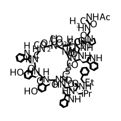 CC[C@H](Cc1ccccc1)NC(=O)[C@H](CC(C)C)NC(=O)[C@H](Cc1c[nH]c2ccccc12)NC(=O)[C@@H]1CSSC[C@H](NC(=O)[C@H](Cc2c[nH]c3ccccc23)NC(=O)[C@@H](NC(=O)[C@@H]2CCCN2C(=O)CNC(=O)[C@H](C)NC(C)=O)C(C)O)C(=O)N[C@@H](CCC(=O)O)C(=O)N[C@@H](CC(=O)O)C(=O)N[C@@H](CC(=O)O)CN[C@@H](Cc2c[nH]c3ccccc23)C(=O)N[C@@H](Cc2ccc(O)cc2)C(=O)N[C@@H](Cc2ccc(O)cc2)C(=O)N1